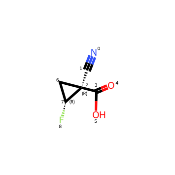 N#C[C@@]1(C(=O)O)C[C@H]1F